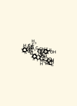 CC(C)CN(C[C@@H](O)[C@H](Cc1ccc(OCP(=O)(Oc2ccccc2)OC(C)C)cc1)NC(=O)O[C@H]1CO[C@H]2OCC[C@H]21)S(=O)(=O)c1ccc(CO)cc1